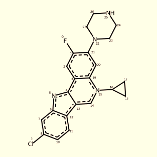 Fc1cc2c3nc4cc(Cl)ccc4c-3cn(C3CC3)c2cc1N1CCNCC1